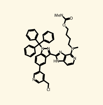 CNC(=O)OCCCCN(C)c1nccc2[nH]c(-c3nn(C(c4ccccc4)(c4ccccc4)c4ccccc4)c4ccc(-c5cncc(CCl)c5)cc34)nc12